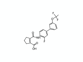 CC(F)(F)Oc1cccc(-c2ccc(NC(=O)C3=C(C(=O)O)CCC3)c(F)c2)c1